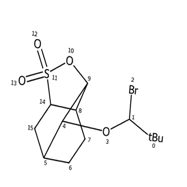 CC(C)(C)C(Br)OC1C2CCC3C1OS(=O)(=O)C3C2